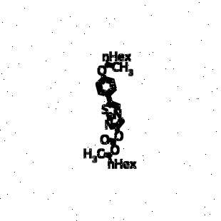 CCCCCC[C@@H](C)OC(=O)Oc1cn2cc(-c3ccc(O[C@@H](C)CCCCCC)cc3)sc2n1